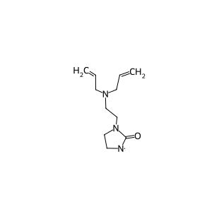 C=CCN(CC=C)CCN1CC[N]C1=O